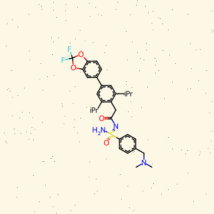 CC(C)c1cc(-c2ccc3c(c2)OC(F)(F)O3)cc(C(C)C)c1CC(=O)N=S(N)(=O)c1ccc(CN(C)C)cc1